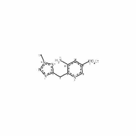 CCOC(=O)c1cnc(Cc2nnn(C)n2)c(N)c1